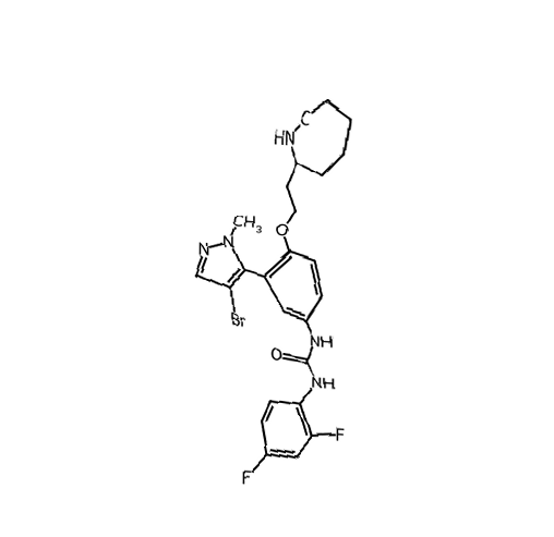 Cn1ncc(Br)c1-c1cc(NC(=O)Nc2ccc(F)cc2F)ccc1OCCC1CCCCCN1